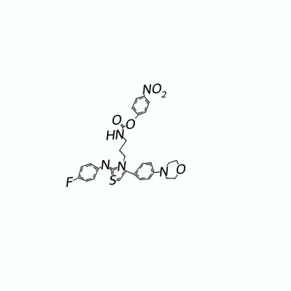 O=C(NCCCn1c(-c2ccc(N3CCOCC3)cc2)csc1=Nc1ccc(F)cc1)Oc1ccc([N+](=O)[O-])cc1